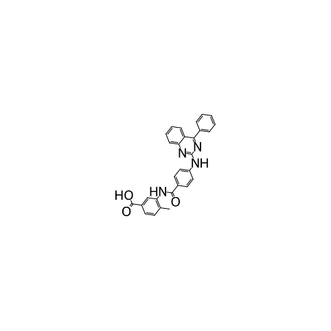 Cc1ccc(C(=O)O)cc1NC(=O)c1ccc(Nc2nc(-c3ccccc3)c3ccccc3n2)cc1